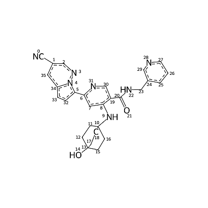 N#Cc1cnn2c(-c3cc(NC45CCC(O)(CC4)CC5)c(C(=O)NCc4cccnc4)cn3)ccc2c1